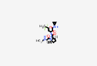 CC(F)(F)CCC(NC(=O)C1[C@H]2CC[C@H](C2)N1C(=O)[C@@H](NC(=O)O)C(C)(C)C)C(=O)C(=O)NC1CC1